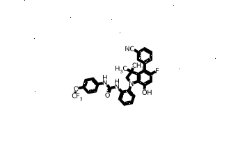 CC1(C)CN(c2ccccc2NC(=O)Nc2ccc(OC(F)(F)F)cc2)c2c(O)cc(F)c(-c3cccc(C#N)c3)c21